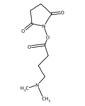 CN(C)CCCC(=O)ON1C(=O)CCC1=O